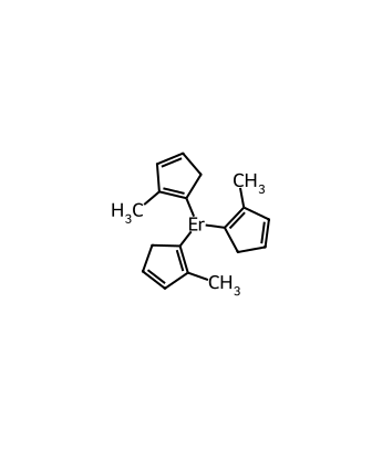 CC1=[C]([Er]([C]2=C(C)C=CC2)[C]2=C(C)C=CC2)CC=C1